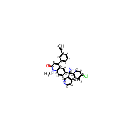 C#Cc1cccc(-c2cc(=O)n(C)c3ccc(C(N)(c4ccc(Cl)cc4)c4cnccc4C)cc23)c1